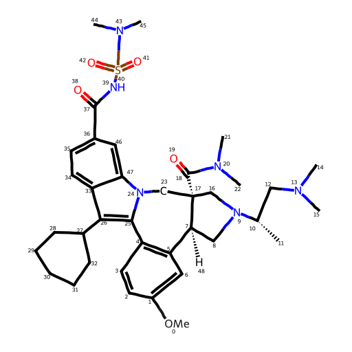 COc1ccc2c(c1)[C@@H]1CN([C@@H](C)CN(C)C)C[C@]1(C(=O)N(C)C)Cn1c-2c(C2CCCCC2)c2ccc(C(=O)NS(=O)(=O)N(C)C)cc21